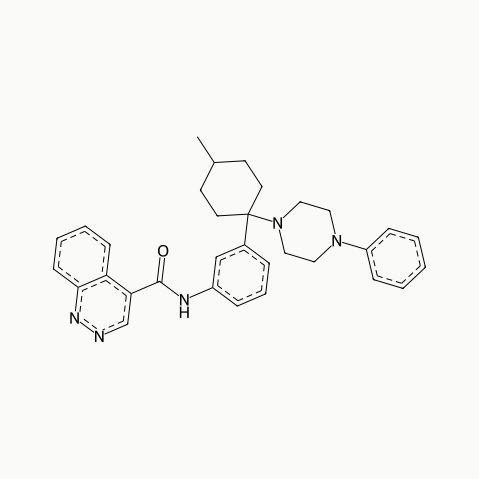 CC1CCC(c2cccc(NC(=O)c3cnnc4ccccc34)c2)(N2CCN(c3ccccc3)CC2)CC1